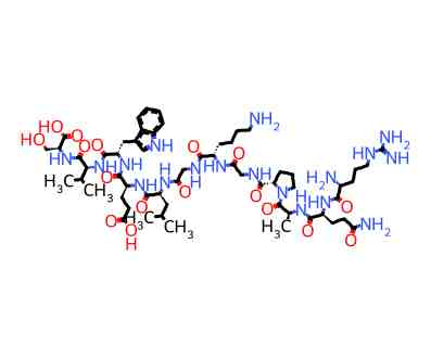 CC(C)C[C@H](NC(=O)CNC(=O)[C@H](CCCCN)NC(=O)CNC(=O)[C@@H]1CCCN1C(=O)[C@H](C)NC(=O)[C@H](CCC(N)=O)NC(=O)[C@@H](N)CCCNC(=N)N)C(=O)N[C@@H](CCC(=O)O)C(=O)N[C@@H](Cc1c[nH]c2ccccc12)C(=O)N[C@H](C(=O)N[C@@H](CO)C(=O)O)C(C)C